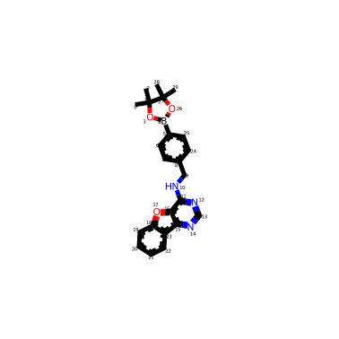 CC1(C)OB(c2ccc(CNc3ncnc4c3oc3ccccc34)cc2)OC1(C)C